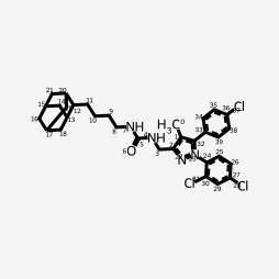 Cc1c(CNC(=O)NCCCCC2C3CC4CC(C3)CC2C4)nn(-c2ccc(Cl)cc2Cl)c1-c1ccc(Cl)cc1